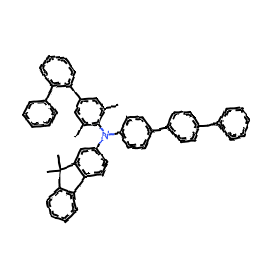 Cc1cc(-c2ccccc2-c2ccccc2)cc(C)c1N(c1ccc(-c2ccc(-c3ccccc3)cc2)cc1)c1ccc2c(c1)C(C)(C)c1ccccc1-2